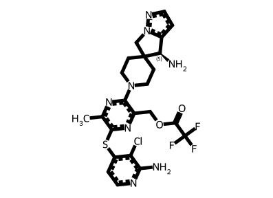 Cc1nc(N2CCC3(CC2)Cn2nccc2[C@H]3N)c(COC(=O)C(F)(F)F)nc1Sc1ccnc(N)c1Cl